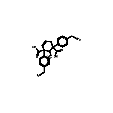 CC1C(C(=O)O)(c2ccc(CN)cc2)C=CCC1(C(=O)O)c1ccc(CN)cc1